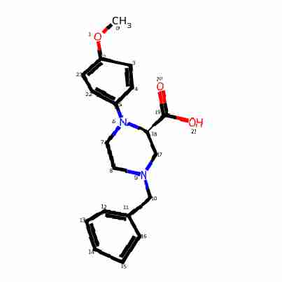 COc1ccc(N2CCN(Cc3ccccc3)C[C@@H]2C(=O)O)cc1